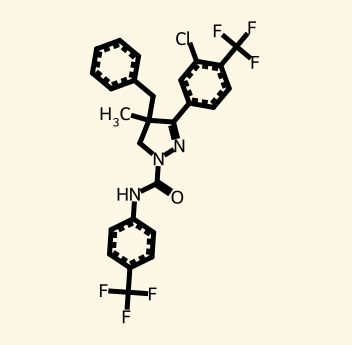 CC1(Cc2ccccc2)CN(C(=O)Nc2ccc(C(F)(F)F)cc2)N=C1c1ccc(C(F)(F)F)c(Cl)c1